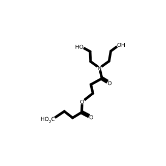 O=C(O)CCC(=O)OCCC(=O)N(CCO)CCO